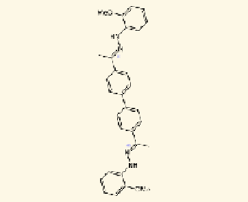 COc1ccccc1N/N=C(\C)c1ccc(-c2ccc(/C(C)=N/Nc3ccccc3OC)cc2)cc1